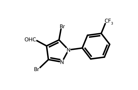 O=Cc1c(Br)nn(-c2cccc(C(F)(F)F)c2)c1Br